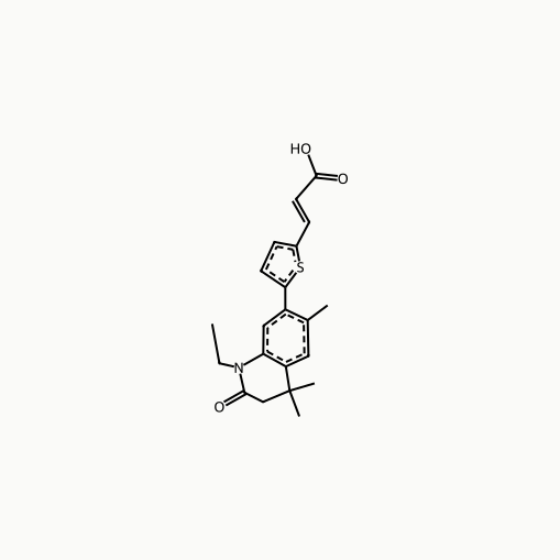 CCN1C(=O)CC(C)(C)c2cc(C)c(-c3ccc(/C=C/C(=O)O)s3)cc21